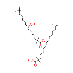 CC(C)CCCCCC(CCCCCC(C)(C)C(=O)O)OC(=O)C(C)(C)CCCCCC(O)CCCCCC(C)(C)C